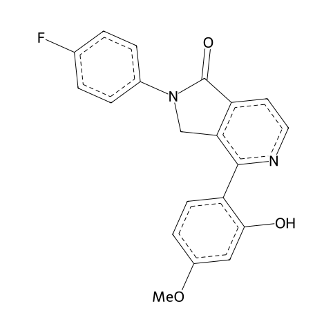 COc1ccc(-c2nccc3c2CN(c2ccc(F)cc2)C3=O)c(O)c1